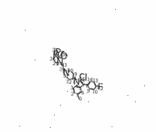 Cc1ccc2c(c1)c(-c1ccc(F)cc1)c(Cl)n2C1CCN(CCN2CCN(C(C)C)C2=O)CC1